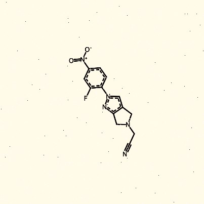 N#CCN1Cc2cn(-c3ccc([N+](=O)[O-])cc3F)nc2C1